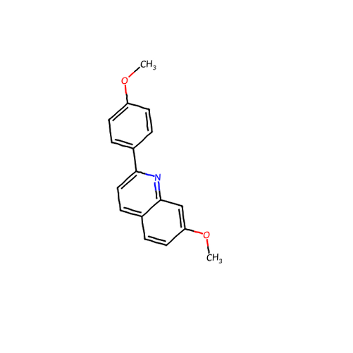 COc1ccc(-c2ccc3ccc(OC)cc3n2)cc1